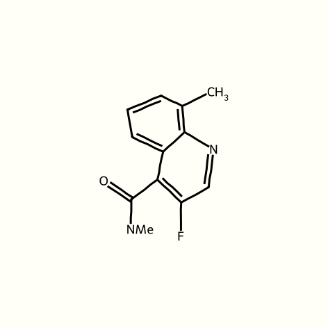 CNC(=O)c1c(F)cnc2c(C)cccc12